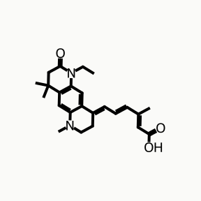 CCN1C(=O)CC(C)(C)c2cc3c(cc21)C(=CC=CC(C)=CC(=O)O)CCN3C